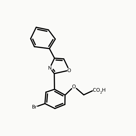 O=C(O)COc1ccc(Br)cc1-c1nc(-c2ccccc2)co1